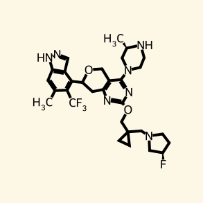 Cc1cc2[nH]ncc2c(C2Cc3nc(OCC4(CN5CC[C@@H](F)C5)CC4)nc(N4CCN[C@H](C)C4)c3CO2)c1C(F)(F)F